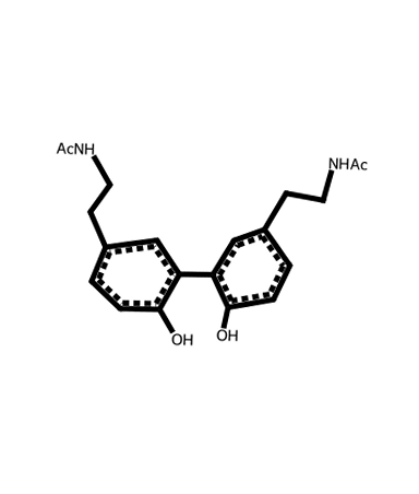 CC(=O)NCCc1ccc(O)c(-c2cc(CCNC(C)=O)ccc2O)c1